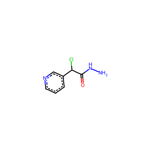 NNC(=O)C(Cl)c1cccnc1